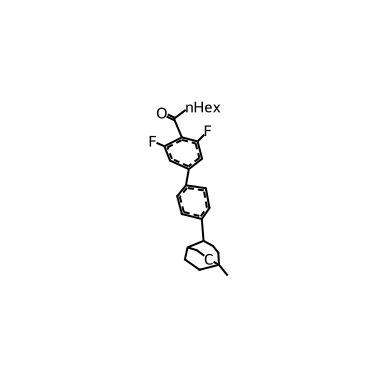 CCCCCCC(=O)c1c(F)cc(-c2ccc(C3CCC4(C)CCC3CC4)cc2)cc1F